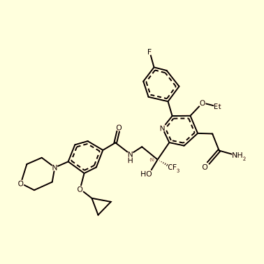 CCOc1c(CC(N)=O)cc([C@@](O)(CNC(=O)c2ccc(N3CCOCC3)c(OC3CC3)c2)C(F)(F)F)nc1-c1ccc(F)cc1